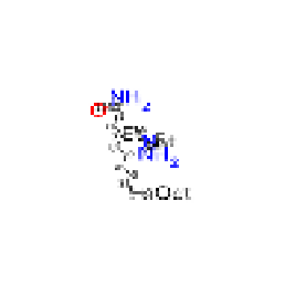 CCCCCCCC/C=C\CCCCCCCC(N)=O.CCN(N)CC